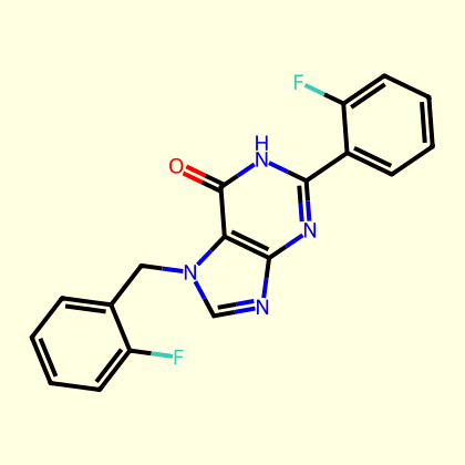 O=c1[nH]c(-c2ccccc2F)nc2ncn(Cc3ccccc3F)c12